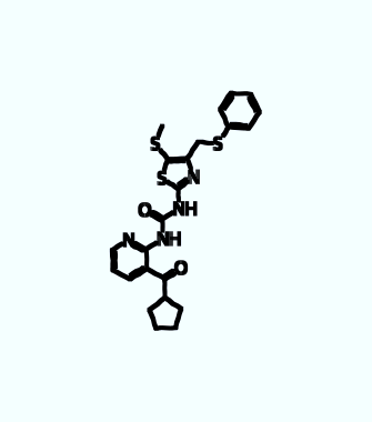 CSc1sc(NC(=O)Nc2ncccc2C(=O)C2CCCC2)nc1CSc1ccccc1